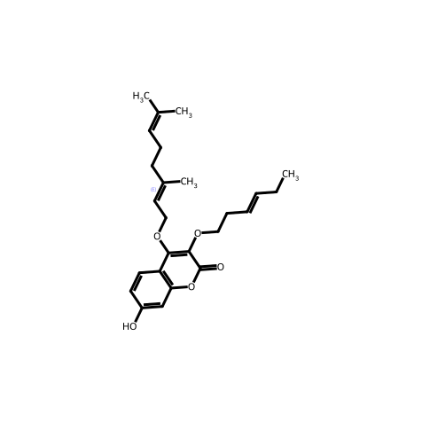 CCC=CCCOc1c(OC/C=C(\C)CCC=C(C)C)c2ccc(O)cc2oc1=O